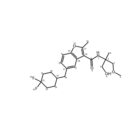 COCC(C)(CO)NC(=O)c1c(C)oc2ccc(CC3CCC(F)(F)CC3)cc12